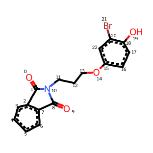 O=C1c2ccccc2C(=O)N1CCCOc1ccc(O)c(Br)c1